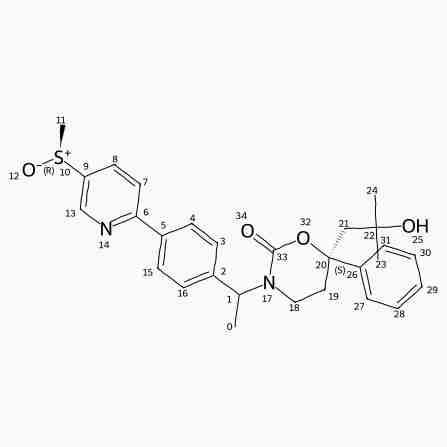 CC(c1ccc(-c2ccc([S@+](C)[O-])cn2)cc1)N1CC[C@](CC(C)(C)O)(c2ccccc2)OC1=O